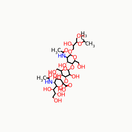 CC(=O)NC1[C@H](OC[C@@H](O)C(CO)OC(C)C)OC(CO)[C@@H](O[C@@H]2OC(CO)[C@H](O)[C@H](O[C@]3(C(=O)O)C[C@@H](O)[C@@H](NC(C)=O)C([C@H](O)[C@H](O)CO)O3)C2O)[C@@H]1O